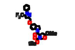 COC(=O)C[C@H](C(=O)N1CCc2cc(OCc3cc(C(F)(F)F)n(-c4ccccc4)n3)ccc21)N(C)C(=O)OC(C)(C)C